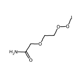 NC(=O)COCCOOI